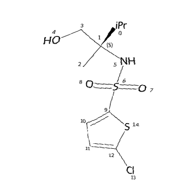 CC(C)[C@@](C)(CO)NS(=O)(=O)c1ccc(Cl)s1